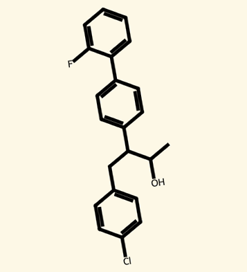 CC(O)C(Cc1ccc(Cl)cc1)c1ccc(-c2ccccc2F)cc1